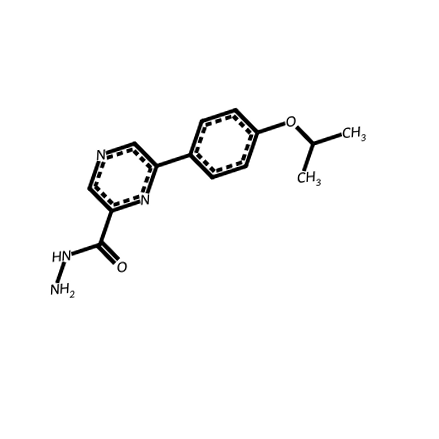 CC(C)Oc1ccc(-c2cncc(C(=O)NN)n2)cc1